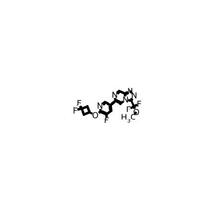 COC(F)(F)c1nnc2cnc(-c3cnc(OC4CC(F)(F)C4)c(F)c3)cn12